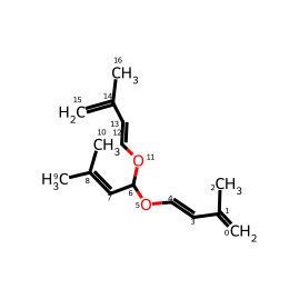 C=C(C)C=COC(C=C(C)C)OC=CC(=C)C